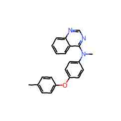 Cc1ccc(Oc2ccc(N(C)c3ncnc4ccccc34)cc2)cc1